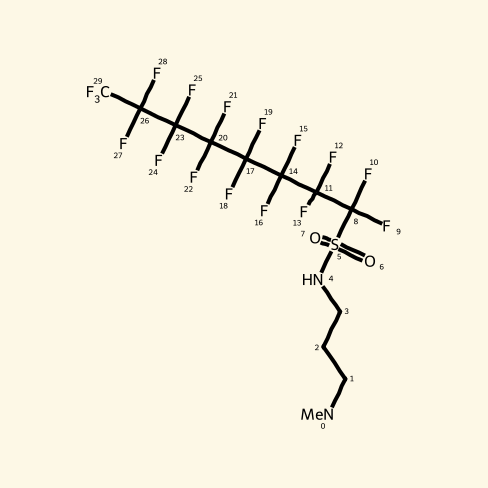 CNCCCNS(=O)(=O)C(F)(F)C(F)(F)C(F)(F)C(F)(F)C(F)(F)C(F)(F)C(F)(F)C(F)(F)F